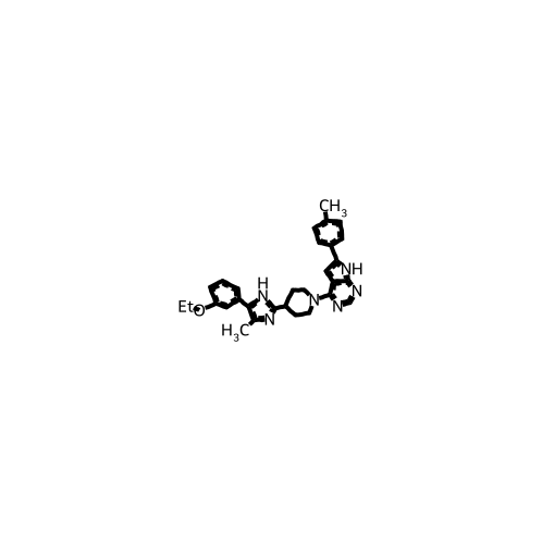 CCOc1cccc(-c2[nH]c(C3CCN(c4ncnc5[nH]c(-c6ccc(C)cc6)cc45)CC3)nc2C)c1